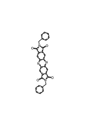 O=c1c2cc3nc4cc5c(=O)n(Cc6ccccc6)c(=O)c5cc4nc3cc2c(=O)n1Cc1ccccc1